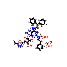 CCc1nnc([C@H]2O[C@@H](n3cnc4c(NCC(c5ccccc5)c5ccccc5)nc(N(CO)CCc5ccccc5)nc43)[C@H](O)[C@@H]2O)o1.O=CO